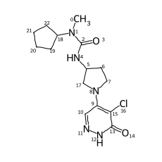 CN(C(=O)NC1CCN(c2cn[nH]c(=O)c2Cl)C1)C1CCCC1